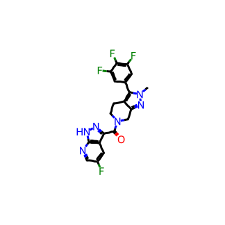 Cn1nc2c(c1-c1cc(F)c(F)c(F)c1)CCN(C(=O)c1n[nH]c3ncc(F)cc13)C2